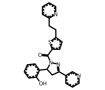 O=C(c1ccc(CCc2ccccn2)s1)N1N=C(c2cccnc2)CC1c1ccccc1O